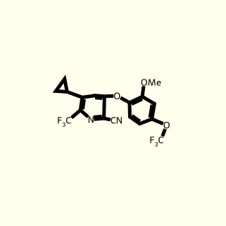 COc1cc(OC(F)(F)F)ccc1Oc1cc(C2CC2)c(C(F)(F)F)nc1C#N